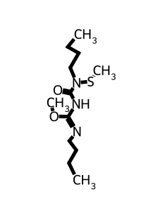 CCCCN=C(NC(=O)N(CCCC)SC)OC